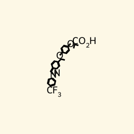 CC(Oc1ccc(OC(C)(C)C(=O)O)cc1)c1ccc2cn(-c3ccc(C(F)(F)F)cc3)nc2c1